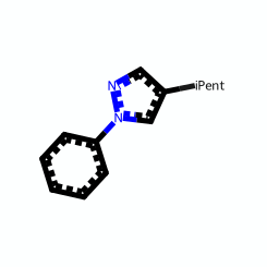 CCCC(C)c1cnn(-c2ccccc2)c1